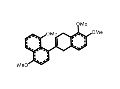 COc1ccc2c(c1OC)CC=C(c1ccc(OC)c3cccc(OC)c13)[CH]2